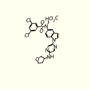 O=C(O)CN(c1ccc2c(ccn2-c2cnc(NC3CCOC3)cn2)c1)S(=O)(=O)c1cc(Cl)cc(Cl)c1